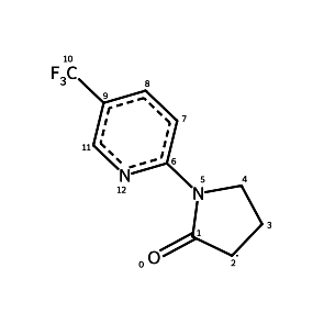 O=C1[CH]CCN1c1ccc(C(F)(F)F)cn1